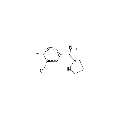 Cc1ccc(N(N)C2=NCCN2)cc1Cl